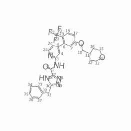 O=C(Nc1cc(-c2cc(OCC3CCOCC3)ccc2C(F)(F)F)ccn1)c1nnc(Cc2ccccc2)[nH]1